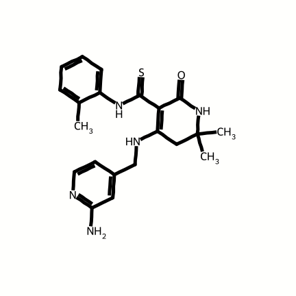 Cc1ccccc1NC(=S)C1=C(NCc2ccnc(N)c2)CC(C)(C)NC1=O